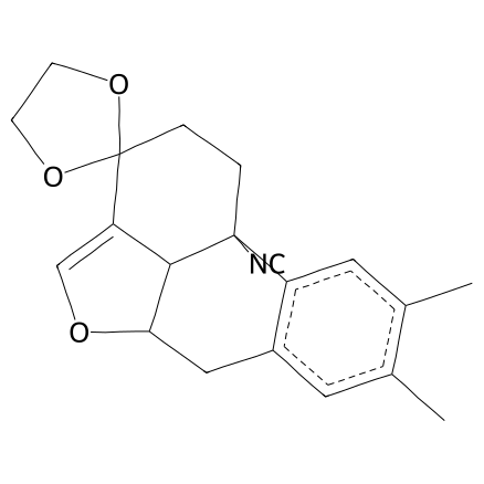 [C-]#[N+]C12CCC3(OCCO3)C3=COC(Cc4cc(C)c(C)cc41)C32